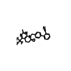 Cc1nc2c(c(C(F)(F)F)n1)CCC(=O)N2Cc1ccc(-c2ccccc2C#N)cc1